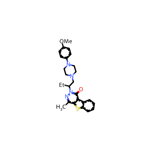 CCC(CN1CCN(c2ccc(OC)cc2)CC1)n1nc(C)c2sc3ccccc3c2c1=O